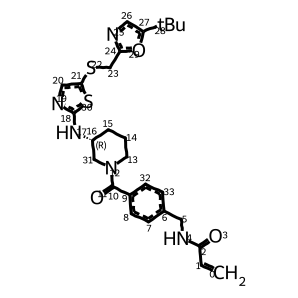 C=CC(=O)NCc1ccc(C(=O)N2CCC[C@@H](Nc3ncc(SCc4ncc(C(C)(C)C)o4)s3)C2)cc1